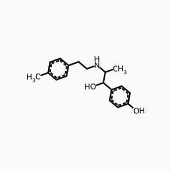 Cc1ccc(CCNC(C)C(O)c2ccc(O)cc2)cc1